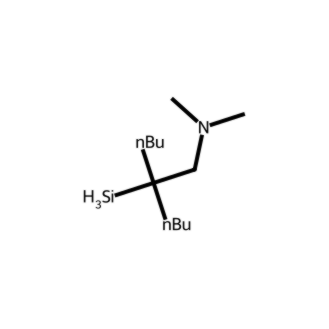 CCCCC([SiH3])(CCCC)CN(C)C